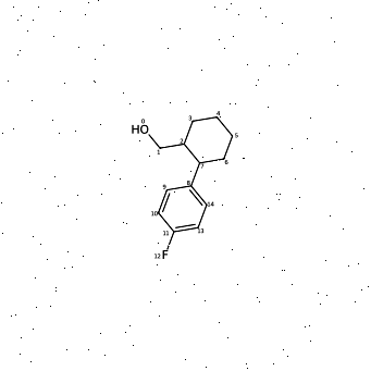 OCC1CCCCC1c1ccc(F)cc1